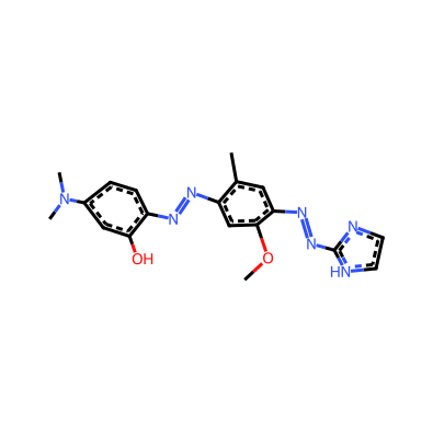 COc1cc(/N=N/c2ccc(N(C)C)cc2O)c(C)cc1/N=N/c1ncc[nH]1